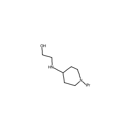 CC(C)N1CCC(NCCO)CC1